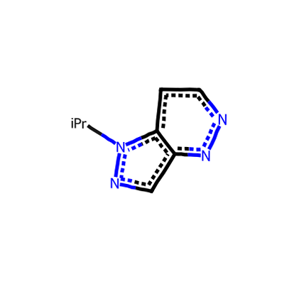 CC(C)n1ncc2nnccc21